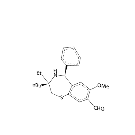 CCCC[C@]1(CC)CSc2cc(C=O)c(OC)cc2[C@H](c2ccccc2)N1